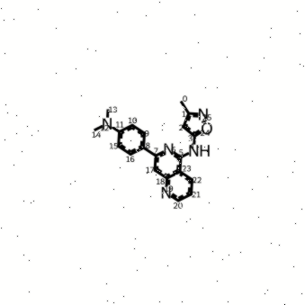 Cc1cc(Nc2nc(-c3ccc(N(C)C)cc3)cc3ncccc23)on1